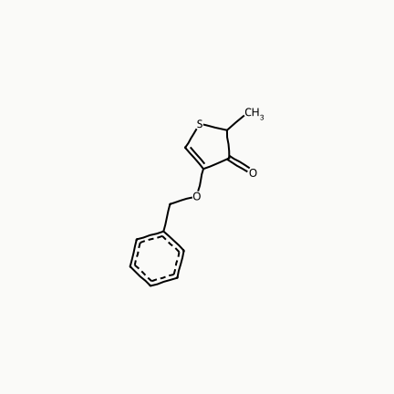 CC1SC=C(OCc2ccccc2)C1=O